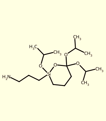 CC(C)OC1(OC(C)C)CCC[Si](CCCN)(OC(C)C)O1